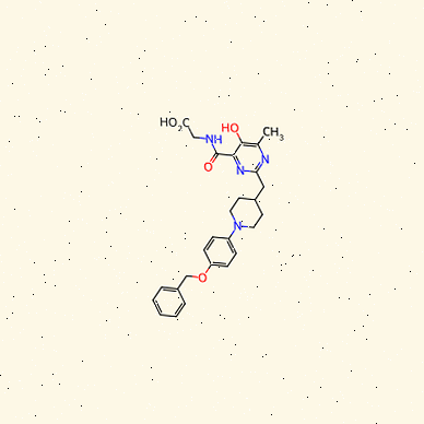 Cc1nc(CC2CCN(c3ccc(OCc4ccccc4)cc3)CC2)nc(C(=O)NCC(=O)O)c1O